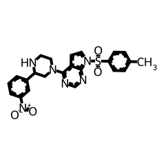 Cc1ccc(S(=O)(=O)n2ccc3c(N4CCNC(c5cccc([N+](=O)[O-])c5)C4)ncnc32)cc1